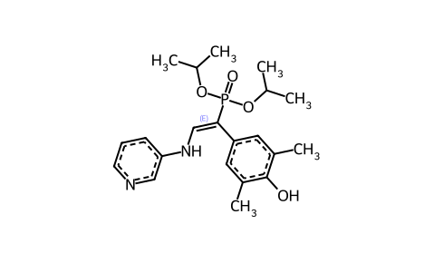 Cc1cc(/C(=C\Nc2cccnc2)P(=O)(OC(C)C)OC(C)C)cc(C)c1O